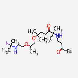 CC(COC(C)(C)CCC(=O)C(C)(C)NCCC(=O)C(C)(C)C)OCCNC(C)(C)I